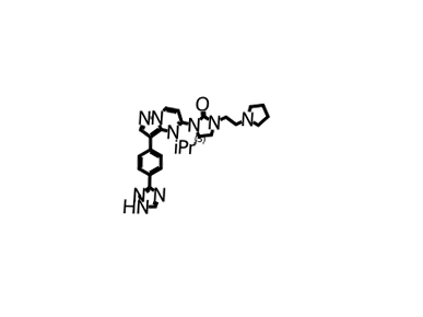 CC(C)[C@H]1CN(CCN2CCCC2)C(=O)N1c1ccn2ncc(-c3ccc(-c4nc[nH]n4)cc3)c2n1